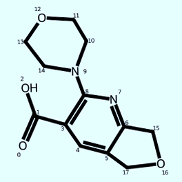 O=C(O)c1cc2c(nc1N1CCOCC1)COC2